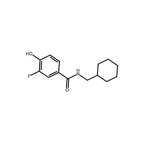 O=C(NCC1CCCCC1)c1ccc(O)c(F)c1